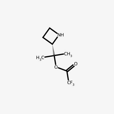 CC(C)(OC(=O)C(F)(F)F)[C@@H]1CCN1